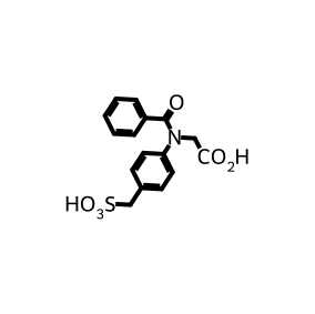 O=C(O)CN(C(=O)c1ccccc1)c1ccc(CS(=O)(=O)O)cc1